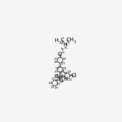 CCN(CC)CCCOc1ccc(-c2ccc3c(c2)c2cc(Cl)cnc2n3S(=O)(=O)c2ccccc2)cc1